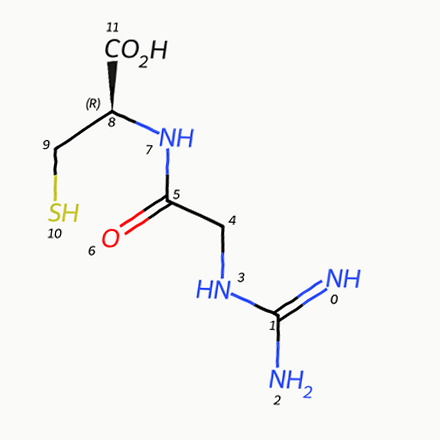 N=C(N)NCC(=O)N[C@@H](CS)C(=O)O